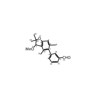 COC1c2c(cc(C)c(-c3cccc(C=O)c3)c2C)OC1(C)C